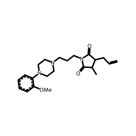 C=CCC1C(=O)N(CCCN2CCN(c3ccccc3OC)CC2)C(=O)C1C